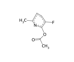 CC(=O)Oc1nc(C)ccc1F